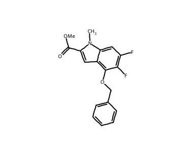 COC(=O)c1cc2c(OCc3ccccc3)c(F)c(F)cc2n1C